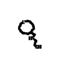 OCCNCC1CCCCCCCCCC1